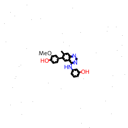 COc1cc(-c2cc3c(Nc4cccc(O)c4)ncnc3cc2C)ccc1O